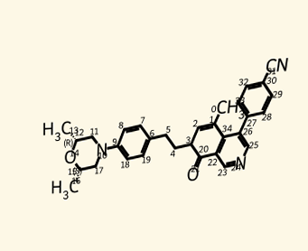 CC1=CC(CCc2ccc(N3C[C@@H](C)O[C@@H](C)C3)cc2)C(=O)c2cncc(-c3ccc(C#N)cc3)c21